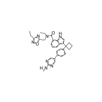 CCc1noc(CN(CC)C(=O)c2cccc3c(C4(c5ccc(-c6cnc(N)nc6)cc5)CCC4)c[nH]c23)n1